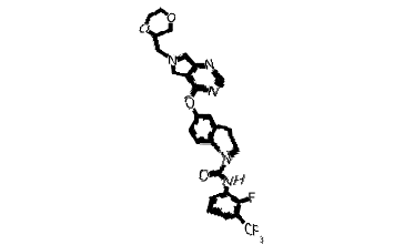 O=C(Nc1cccc(C(F)(F)F)c1F)N1CCc2cc(Oc3ncnc4c3CN(CC3COCCO3)C4)ccc21